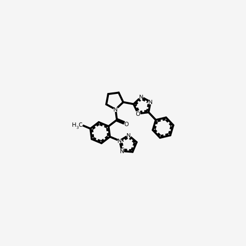 Cc1ccc(-n2nccn2)c(C(=O)N2CCCC2c2nnc(-c3ccccc3)o2)c1